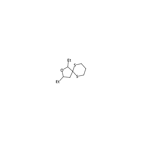 CCC1CC2(SCCCS2)C(CC)O1